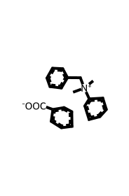 C[N+](C)(Cc1ccccc1)c1ccccc1.O=C([O-])c1ccccc1